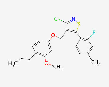 CCCc1ccc(OCc2c(Cl)nsc2-c2ccc(C)cc2F)cc1OC